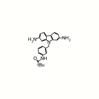 CC(C)(C)C(=O)Nc1cccc(Cn2c3cc(N)ccc3c3ccc(N)cc32)c1